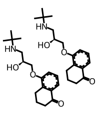 CC(C)(C)NC[C@H](O)COc1cccc2c1CCCC2=O.CC(C)(C)NC[C@H](O)COc1cccc2c1CCCC2=O